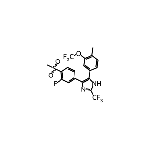 Cc1ccc(-c2[nH]c(C(F)(F)F)nc2-c2ccc(S(C)(=O)=O)c(F)c2)cc1OC(F)(F)F